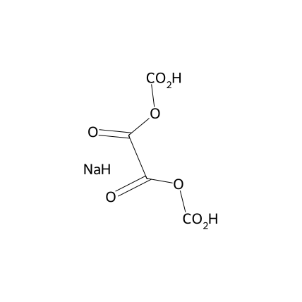 O=C(O)OC(=O)C(=O)OC(=O)O.[NaH]